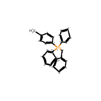 Cc1ccc([PH](Cc2ccccc2)(c2ccccc2)c2ccccc2)cc1